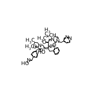 CC(C)CN(C[C@@H](O)[C@H](Cc1ccccc1)NC(=O)[C@@H](N1CCN(Cc2ccnnc2)C1=O)C(C)(C)C)S(=O)(=O)c1ccc(C=NO)cc1